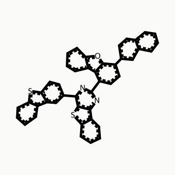 c1ccc2cc(-c3ccc(-c4nc(-c5ccc6sc7ccccc7c6c5)c5sc6ccccc6c5n4)c4c3oc3ccccc34)ccc2c1